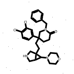 O=C1CCC(CCC23CNCC2C3N2CCOCC2)(c2ccc(Cl)c(Cl)c2)CN1Cc1ccccc1